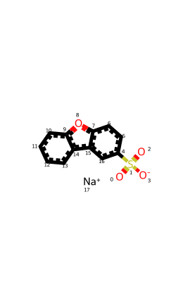 O=S(=O)([O-])c1ccc2oc3ccccc3c2c1.[Na+]